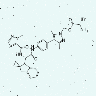 Cc1nn(COC(=O)[C@@H](N)C(C)C)c(C)c1-c1ccc(NC(=O)[C@@H](NC(=O)c2ccnn2C)C2c3ccccc3CC23CC3)cc1